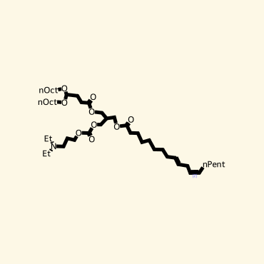 CCCCC/C=C\CC=CCCCCCCCC(=O)OCC(COC(=O)CCC(OCCCCCCCC)OCCCCCCCC)COC(=O)OCCCN(CC)CC